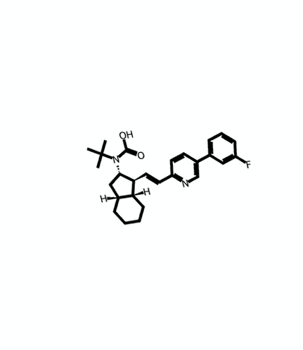 CC(C)(C)N(C(=O)O)[C@H]1C[C@H]2CCCC[C@H]2[C@@H]1C=Cc1ccc(-c2cccc(F)c2)cn1